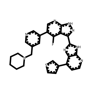 Fc1c(-c2cncc(CN3CCCCC3)c2)cnc2[nH]nc(-c3nc4c(-c5ccsc5)ccnc4[nH]3)c12